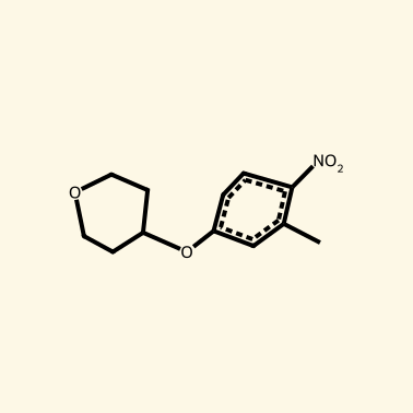 Cc1cc(OC2CCOCC2)ccc1[N+](=O)[O-]